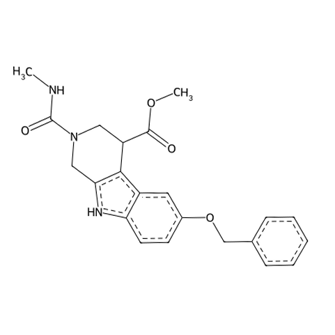 CNC(=O)N1Cc2[nH]c3ccc(OCc4ccccc4)cc3c2C(C(=O)OC)C1